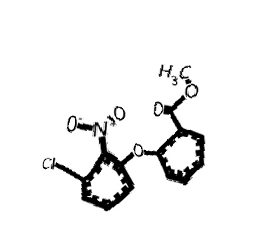 COC(=O)c1ccccc1Oc1cccc(Cl)c1[N+](=O)[O-]